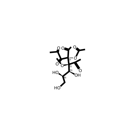 CO[C@@](C(C)=O)([C@@H](O)[C@H](O)CO)[C@](OC(C)=O)(C(C)=O)C(=O)C(C)=O